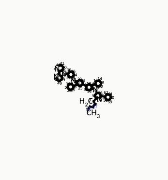 C=C(/C=C\C=C/C)c1cc(-n2c3ccccc3c3cc(-c4ccc5c(c4)c4ccccc4n5-c4cccc(-n5c6cccnc6c6ncccc65)c4)ccc32)cc(-c2ccccc2)n1